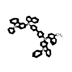 CC1C=CC(N(c2ccc(-c3ccc(N(C4=CC=CC5C=CC=CC45)c4ccc5c(c4)c4ccccc4n5-c4ccccc4)cc3)cc2)c2ccc3c(c2)C2C=CC=CC2N3c2ccccc2)=C2C=CC=CC21